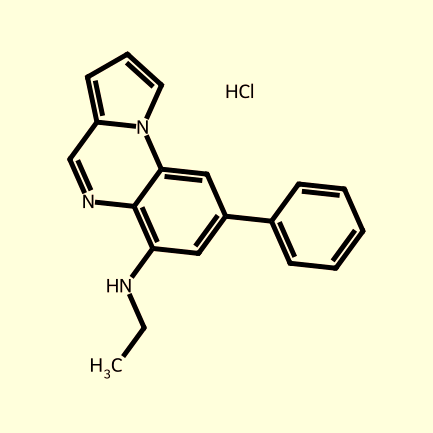 CCNc1cc(-c2ccccc2)cc2c1ncc1cccn12.Cl